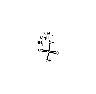 N.O=S(=O)(O)O.[CaH2].[MgH2]